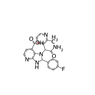 Cc1ncccc1C(C(N)=O)N1c2c(C(=O)O)ccnc2NC1c1ccc(F)cc1